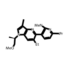 CCc1cc2c(nc1-c1ccc(C(C)C)nc1NC)c(C)cn2[C@H](C)COC